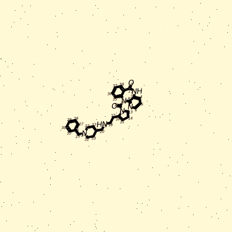 O=C1Nc2cccnc2N(C(=O)N2CCCC2CCNCC2CCN(Cc3ccccc3)CC2)c2ccccc21